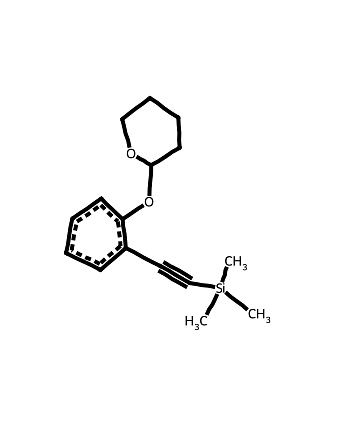 C[Si](C)(C)C#Cc1ccccc1OC1CCCCO1